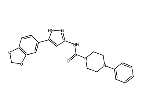 O=C(Nc1cc(-c2ccc3c(c2)OCO3)[nH]n1)N1CCN(c2ccccc2)CC1